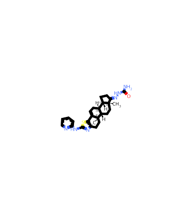 C[C@]12CCc3nc(Nc4ccccn4)sc3C1=CC[C@@H]1[C@@H]2CC[C@]2(C)/C(=N/NC(N)=O)CC[C@@H]12